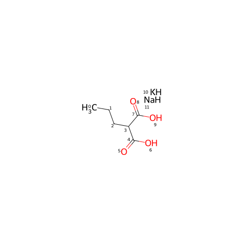 CCCC(C(=O)O)C(=O)O.[KH].[NaH]